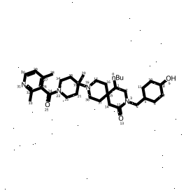 CCCCC1CN(CC2CCC(O)CC2)C(=O)CC12CCN(C1(C)CCN(C(=O)c3c(C)ccnc3C)CC1)CC2